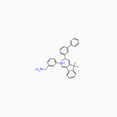 CC(/C=C1\C(=C/Nc2cccc(CN)c2)c2ccccc2C1(C)C)c1cccc(-c2ccccc2)c1